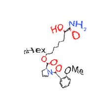 CCCCCC[C@H](CCCCC[C@@H](O)C(N)=O)OC(=O)[C@@H]1CC=CN1C(=O)c1ccccc1OC